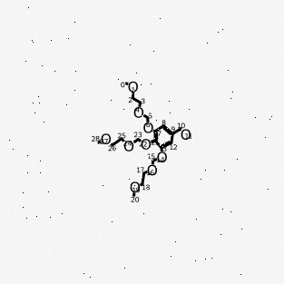 COCCOCOc1cc(C=O)cc(OCOCCOC)c1OCOCCOC